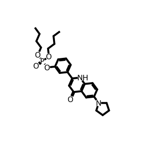 CCCCOP(=O)(OCCCC)Oc1cccc(-c2cc(=O)c3cc(N4CCCC4)ccc3[nH]2)c1